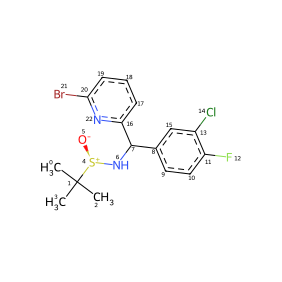 CC(C)(C)[S@@+]([O-])NC(c1ccc(F)c(Cl)c1)c1cccc(Br)n1